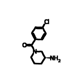 N[C@@H]1CCCN(C(=O)c2ccc(Cl)cc2)C1